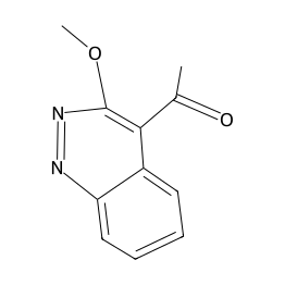 COc1nnc2ccccc2c1C(C)=O